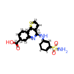 NS(=O)(=O)C1=CCCC(Nc2nc3cc(C(=O)O)ccc3c3sccc23)=C1